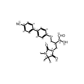 CN1C(=O)N(CC(CSc2ccc(-c3ccc(C#N)cc3)cc2)N(O)C=O)C(=O)C1(C)C